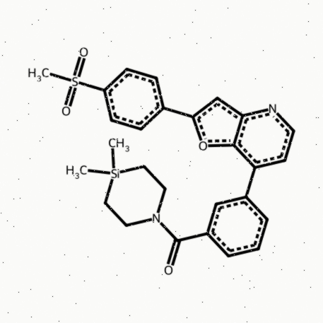 C[Si]1(C)CCN(C(=O)c2cccc(-c3ccnc4cc(-c5ccc(S(C)(=O)=O)cc5)oc34)c2)CC1